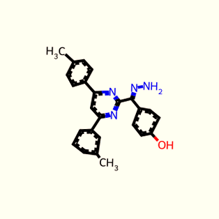 Cc1ccc(-c2cc(-c3cccc(C)c3)nc(C(=NN)c3ccc(O)cc3)n2)cc1